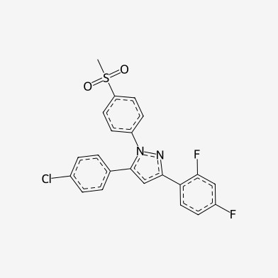 CS(=O)(=O)c1ccc(-n2nc(-c3ccc(F)cc3F)cc2-c2ccc(Cl)cc2)cc1